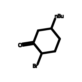 CCCCC1CCC(Br)C(=O)C1